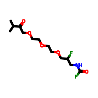 CC(C)C(=O)COCCOCCOCC(F)CNC(=O)F